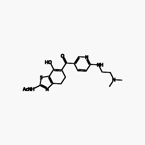 CC(=O)Nc1nc2c(s1)C(O)=C(C(=O)c1ccc(NCCN(C)C)nc1)CC2